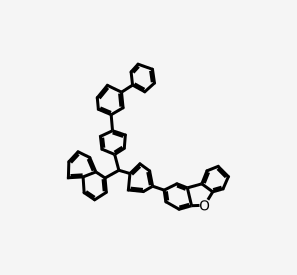 c1ccc(-c2cccc(-c3ccc(C(c4ccc(-c5ccc6oc7ccccc7c6c5)cc4)c4cccc5ccccc45)cc3)c2)cc1